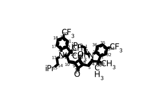 CC(C)CCN1/C(=C\C2=C(O)C(=C\C3=[N+](CCC(C)C)c4ccc(C(F)(F)F)cc4C3(C)C)/C2=O)C(C)(C)c2cc(C(F)(F)F)ccc21